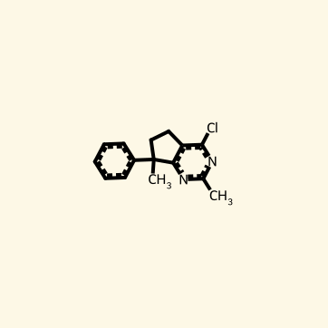 Cc1nc(Cl)c2c(n1)C(C)(c1ccccc1)CC2